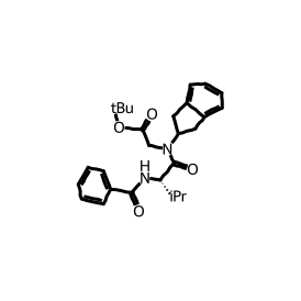 CC(C)[C@H](NC(=O)c1ccccc1)C(=O)N(CC(=O)OC(C)(C)C)C1Cc2ccccc2C1